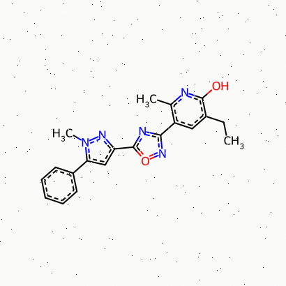 CCc1cc(-c2noc(-c3cc(-c4ccccc4)n(C)n3)n2)c(C)nc1O